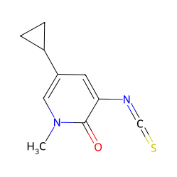 Cn1cc(C2CC2)cc(N=C=S)c1=O